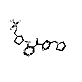 NS(=O)(=O)OC[C@@H]1CC[C@H](Nc2ncncc2C(=O)c2cc(CN3CC=CC3)cs2)C1